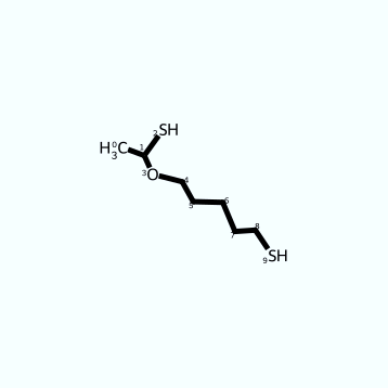 CC(S)OCCCCCS